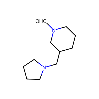 O=CN1CCCC(CN2CCCC2)C1